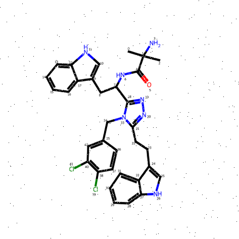 CC(C)(N)C(=O)NC(Cc1c[nH]c2ccccc12)c1nnc(CCc2c[nH]c3ccccc23)n1Cc1ccc(Cl)c(Cl)c1